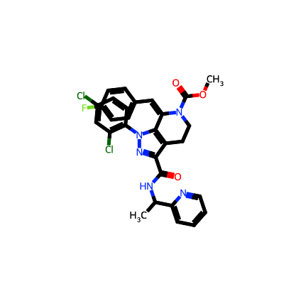 COC(=O)N1CCc2c(C(=O)NC(C)c3ccccn3)nn(-c3ccc(Cl)cc3Cl)c2/C1=C\c1ccc(F)cc1